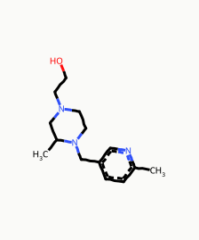 Cc1ccc(CN2CCN(CCO)CC2C)cn1